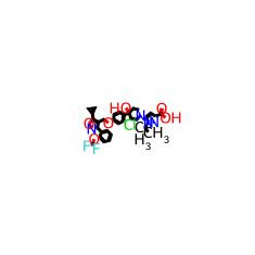 CC(C)n1nc(C(=O)O)cc1N1CCC(O)(c2ccc(OCc3c(-c4ccccc4OC(F)F)noc3C3CC3)cc2Cl)CC1